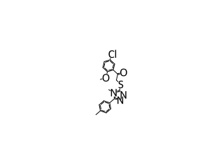 COc1ccc(Cl)cc1C(=O)CSc1nnc(-c2ccc(C)cc2)n1C